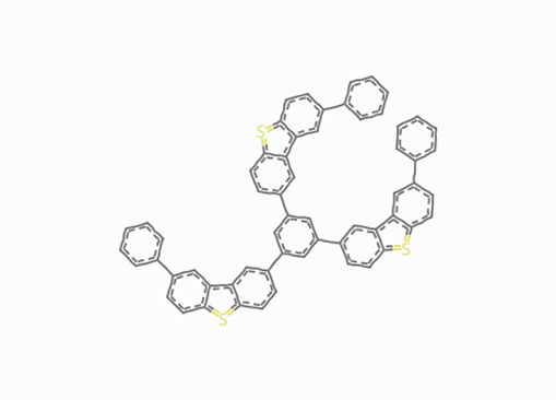 c1ccc(-c2ccc3sc4ccc(-c5cc(-c6ccc7sc8ccc(-c9ccccc9)cc8c7c6)cc(-c6ccc7sc8ccc(-c9ccccc9)cc8c7c6)c5)cc4c3c2)cc1